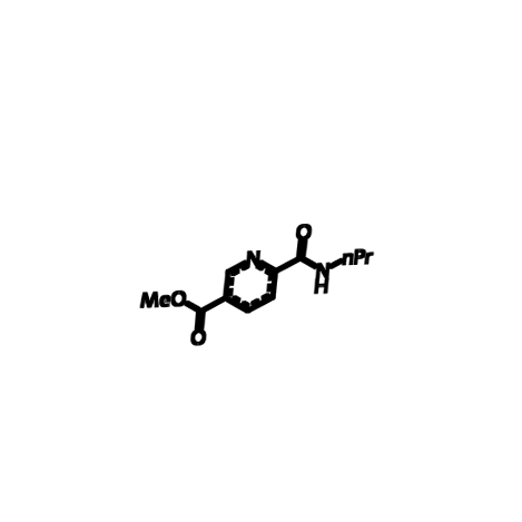 CCCNC(=O)c1ccc(C(=O)OC)cn1